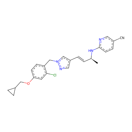 C[C@@H](/C=C/c1cnn(Cc2ccc(OCC3CC3)cc2Cl)c1)Nc1ccc(C#N)cn1